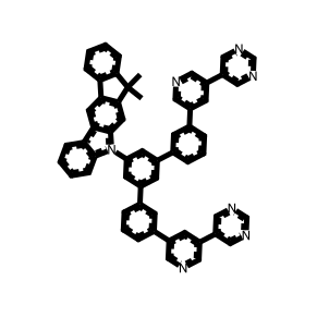 CC1(C)c2ccccc2-c2cc3c4ccccc4n(-c4cc(-c5cccc(-c6cncc(-c7cncnc7)c6)c5)cc(-c5cccc(-c6cncc(-c7cncnc7)c6)c5)c4)c3cc21